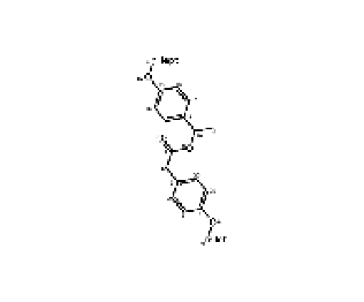 CCCCCCCCOc1ccc(CC(=O)OC(C)c2ccc(OCCCCCCC)cc2)cc1